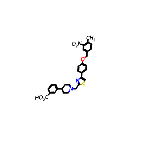 Cc1ccc(COc2ccc(-c3csc(CN4CCC(c5cccc(C(=O)O)c5)CC4)n3)cc2)cc1[N+](=O)[O-]